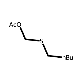 CCCCCSCOC(C)=O